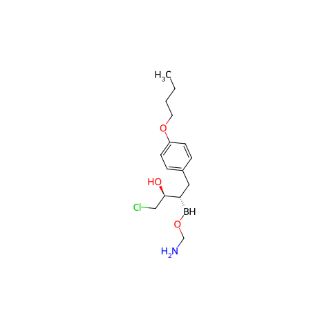 CCCCOc1ccc(C[C@H](BOCN)[C@H](O)CCl)cc1